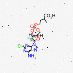 CC(CCO[P@@]1(=O)OC[C@H]2O[C@@H](n3cnc4c(N)nc(Cl)nc43)[C@@H](F)[C@@H]2O1)C(=O)O